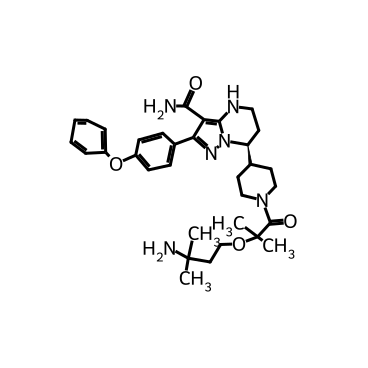 CC(C)(N)CCOC(C)(C)C(=O)N1CCC([C@@H]2CCNc3c(C(N)=O)c(-c4ccc(Oc5ccccc5)cc4)nn32)CC1